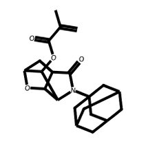 C=C(C)C(=O)OC1C2CC3C(=O)N(C45CC6CC(CC(C6)C4)C5)C1C3O2